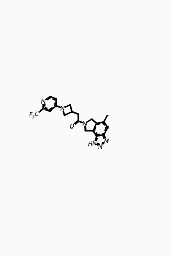 Cc1cc2nn[nH]c2c2c1CN(C(=O)CC1CN(c3ccnc(C(F)(F)F)c3)C1)C2